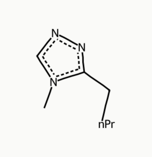 CCCCc1nncn1C